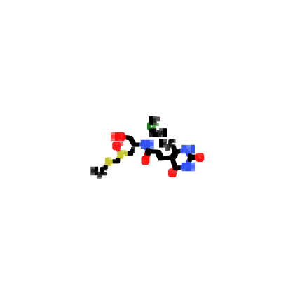 CSC[S@+]([O-])C[C@H](CO)NC(=O)/C=C/c1c(C)[nH]c(=O)[nH]c1=O.[Cl-].[H+].[NaH]